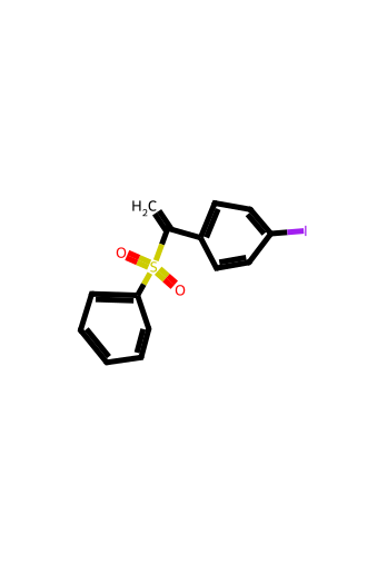 C=C(c1ccc(I)cc1)S(=O)(=O)c1ccccc1